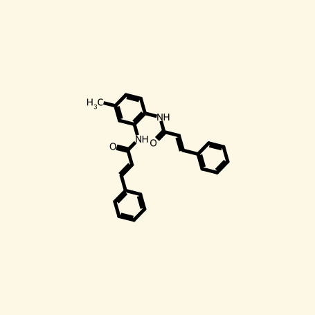 Cc1ccc(NC(=O)/C=C/c2ccccc2)c(NC(=O)/C=C/c2ccccc2)c1